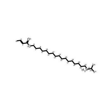 CC=CC(=O)OCCCCCCCCCCCCCCCCC[SiH2]C(I)I